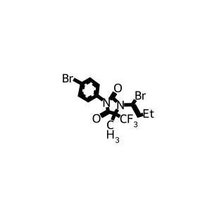 CC/C=C(\Br)N1C(=O)N(c2ccc(Br)cc2)C(=O)C1(C)C(F)(F)F